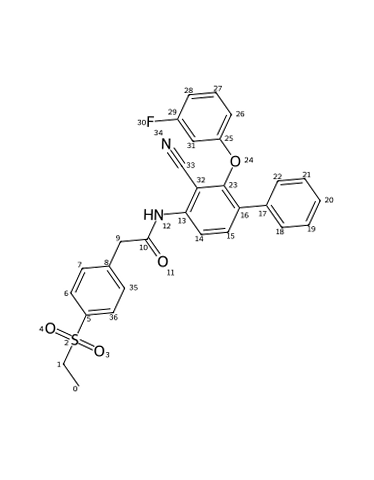 CCS(=O)(=O)c1ccc(CC(=O)Nc2ccc(-c3ccccc3)c(Oc3cccc(F)c3)c2C#N)cc1